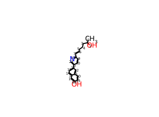 CC(O)CCCC=Cc1ccc(-c2ccc3cc(O)ccc3c2)cn1